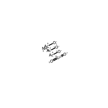 CC(=O)[O-].CC(=O)[O-].CC(=O)[O-].[NH4+].[O]=[U+2]=[O]